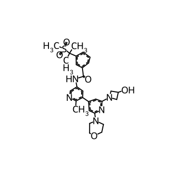 Cc1ncc(NC(=O)c2cccc(C(C)(C)S(C)(=O)=O)c2)cc1-c1cc(N2CCOCC2)nc(N2CC(O)C2)c1